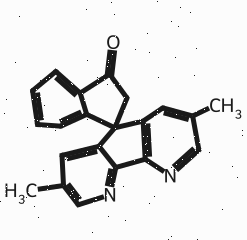 Cc1cnc2c(c1)C1(CC(=O)c3ccccc31)c1cc(C)cnc1-2